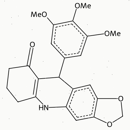 COc1cc(C2C3=C(CCCC3=O)Nc3cc4c(cc32)OCO4)cc(OC)c1OC